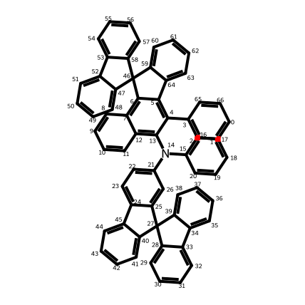 c1ccc(-c2c3c(c4ccccc4c2N(c2ccccc2)c2ccc4c(c2)C2(c5ccccc5-c5ccccc52)c2ccccc2-4)C2(c4ccccc4-c4ccccc42)c2ccccc2-3)cc1